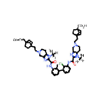 [2H]C([2H])([2H])n1c(C(=O)Nc2cccc(-c3cccc(NC(=O)c4nc5c(n4C([2H])([2H])[2H])CCN(CCC46CCC(C(=O)O)(CC4)C6)C5)c3Cl)c2C)nc2c1CCN(CCC13CCC(COC)(CC1)C3)C2